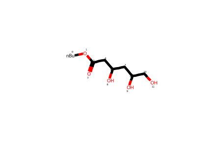 CCCCOC(=O)CC(O)CC(O)CO